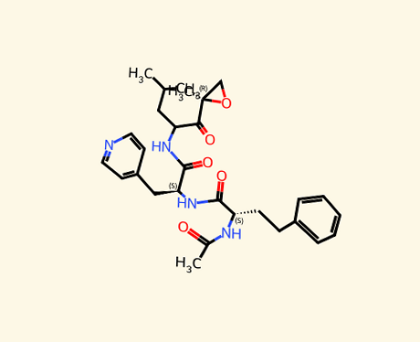 CC(=O)N[C@@H](CCc1ccccc1)C(=O)N[C@@H](Cc1ccncc1)C(=O)NC(CC(C)C)C(=O)[C@@]1(C)CO1